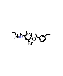 CCc1cccc(C(C)Oc2nc(C)c(/N=C/N(C)CC)cc2Br)c1